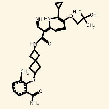 Cc1cccc(C(N)=O)c1OC1CC2(CC(NC(=O)/C(C=N)=C3\C=CC(OCC(C)(C)O)=C(C4CC4)N3)C2)C1